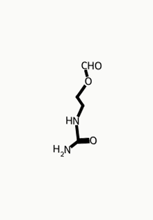 NC(=O)NCCOC=O